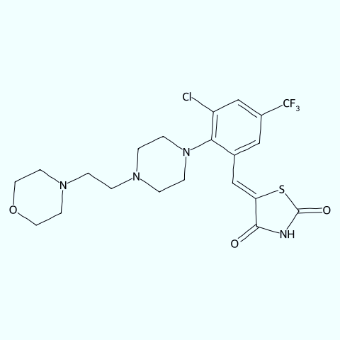 O=C1NC(=O)C(=Cc2cc(C(F)(F)F)cc(Cl)c2N2CCN(CCN3CCOCC3)CC2)S1